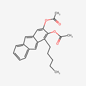 CCCCCc1c(OC(C)=O)c(OC(C)=O)cc2cc3ccccc3cc12